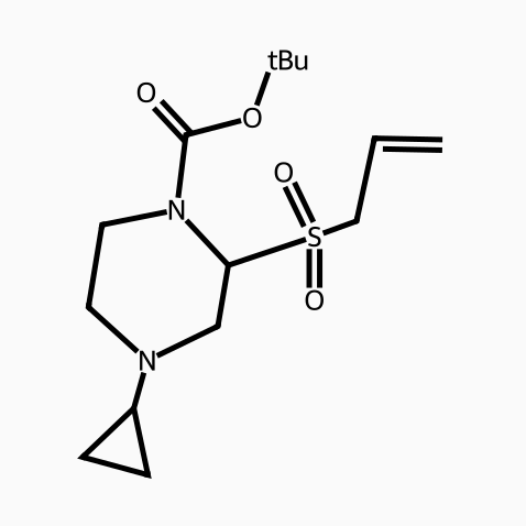 C=CCS(=O)(=O)C1CN(C2CC2)CCN1C(=O)OC(C)(C)C